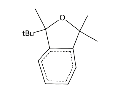 CC1(C)OC(C)(C(C)(C)C)c2ccccc21